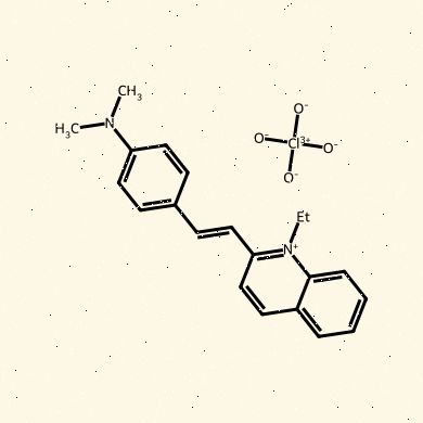 CC[n+]1c(/C=C/c2ccc(N(C)C)cc2)ccc2ccccc21.[O-][Cl+3]([O-])([O-])[O-]